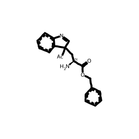 CC(=O)C1(C[C@H](N)C(=O)OCc2ccccc2)C=Nc2ccccc21